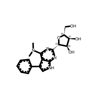 CN(C)c1nc([C@@H]2O[C@H](CO)[C@@H](O)[C@H]2O)nc2[nH]cc(-c3ccccc3)c12